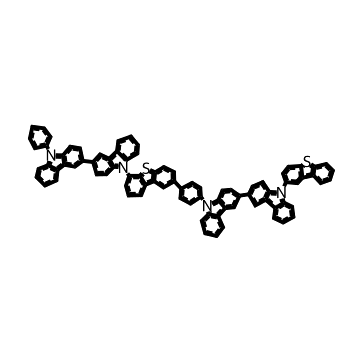 c1ccc(-n2c3ccccc3c3cc(-c4ccc5c(c4)c4ccccc4n5-c4cccc5c4sc4ccc(-c6ccc(-n7c8ccccc8c8cc(-c9ccc%10c(c9)c9ccccc9n%10-c9ccc%10sc%11ccccc%11c%10c9)ccc87)cc6)cc45)ccc32)cc1